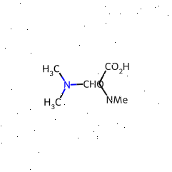 CN(C)C=O.CNCC(=O)O